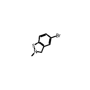 CN1Cc2cc(Br)ccc2S1